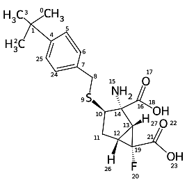 CC(C)(C)c1ccc(CS[C@@H]2C[C@@H]3[C@H]([C@]2(N)C(=O)O)[C@@]3(F)C(=O)O)cc1